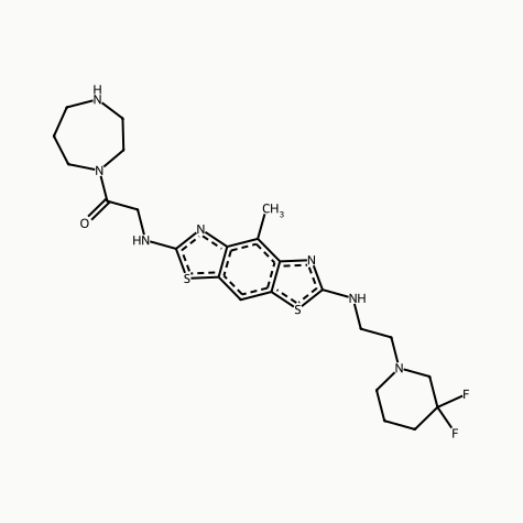 Cc1c2nc(NCCN3CCCC(F)(F)C3)sc2cc2sc(NCC(=O)N3CCCNCC3)nc12